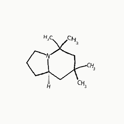 CC1(C)C[C@H]2CCCN2C(C)(C)C1